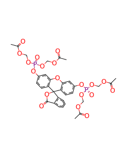 CC(=O)OCOP(=O)(OCOC(C)=O)Oc1ccc2c(c1)Oc1cc(OP(=O)(OCOC(C)=O)OCOC(C)=O)ccc1C21OC(=O)c2ccccc21